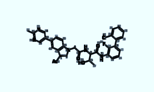 CC(=O)c1cn(CC(=O)NC(C(=O)Nc2cccc(-c3ccccc3Cl)c2F)C(C)O)c2ccc(-c3cnc(C)nc3)cc12